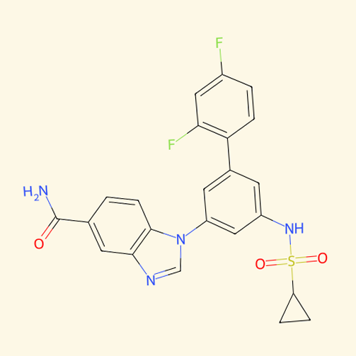 NC(=O)c1ccc2c(c1)ncn2-c1cc(NS(=O)(=O)C2CC2)cc(-c2ccc(F)cc2F)c1